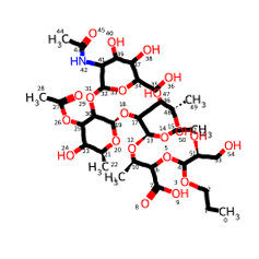 CCCOC(OC(C(=O)O)[C@@H](C)O[C@H](OCC)C(O[C@@H]1O[C@@H](C)C(O)C(OC(C)=O)C1OC1OC(CO)C(O)C(O)C1NC(C)=O)C(O)[C@H](C)O)[C@@H](O)CO